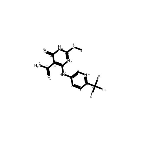 CSc1nc(Nc2ccc(C(F)(F)F)nc2)c(C(N)=O)c(=O)[nH]1